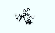 C[N+](C)(C)CCO.O=C([O-])C=CC(=O)[O-].[Na+]